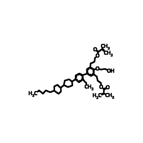 C=C(C)C(=O)OCCCc1cc(-c2ccc(C3CCC(C4CCC(CCCCC)CC4)CC3)cc2CC)cc(CCCOC(=O)C(=C)C)c1OCCO